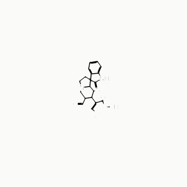 C=CC1CN2CCC3(C(=O)Nc4ccccc43)C2CC1C(=COC)C(=O)OC